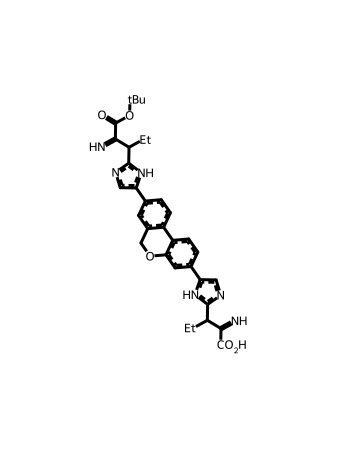 CCC(C(=N)C(=O)O)c1ncc(-c2ccc3c(c2)OCc2cc(-c4cnc(C(CC)C(=N)C(=O)OC(C)(C)C)[nH]4)ccc2-3)[nH]1